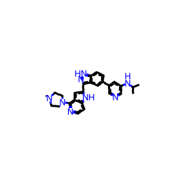 CC(C)Nc1cncc(-c2ccc3[nH]nc(-c4cc5c(N6CCN(C)CC6)nccc5[nH]4)c3c2)c1